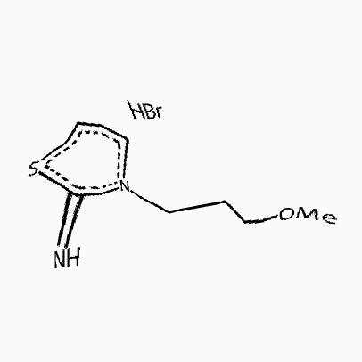 Br.COCCCn1ccsc1=N